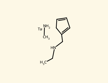 CCNCC1=CC=CC1.CN.[Ta]